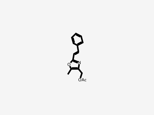 CC(=O)OCc1nc(C=Cc2ccccc2)oc1C